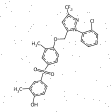 Cc1cc(S(=O)(=O)c2ccc(OCc3cc(C(F)(F)F)nn3-c3ccccc3Cl)c(C)c2)ccc1O